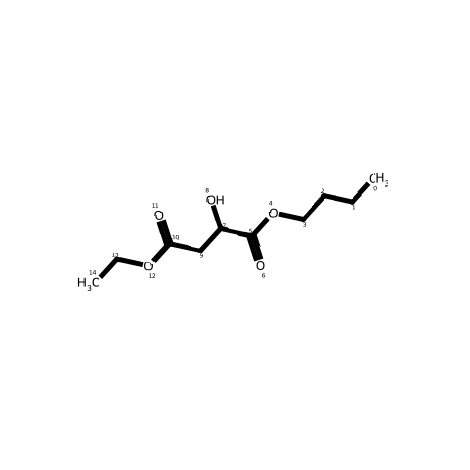 CCCCOC(=O)C(O)CC(=O)OCC